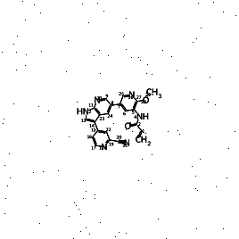 C=CC(=O)Nc1cc(-c2cnc3[nH]cc(-c4ccnc(C#N)c4)c3c2)cnc1OC